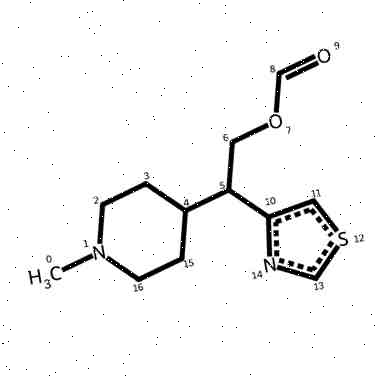 CN1CCC(C(COC=O)c2cscn2)CC1